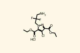 CCOC(=O)c1nn(CC(F)(F)CN)c(C(=O)OCC)c1Cl.Cl